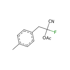 CC(=O)OC(F)(C#N)Cc1ccc(C)cc1